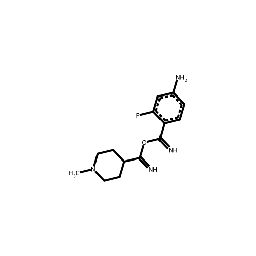 CN1CCC(C(=N)OC(=N)c2ccc(N)cc2F)CC1